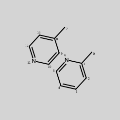 Cc1ccccn1.Cc1ccncc1